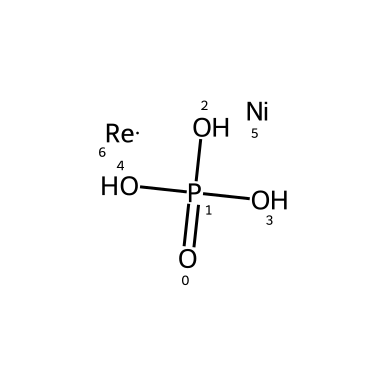 O=P(O)(O)O.[Ni].[Re]